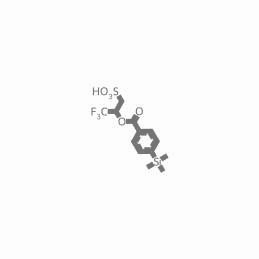 C[Si](C)(C)c1ccc(C(=O)OC(CS(=O)(=O)O)C(F)(F)F)cc1